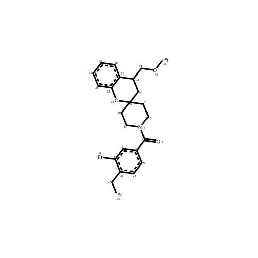 CCc1cc(C(=O)N2CCC3(CC2)CC(COC(C)C)c2ccccc2O3)ccc1CC(C)C